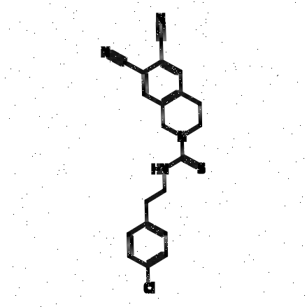 N#Cc1cc2c(cc1C#N)CN(C(=S)NCCc1ccc(Cl)cc1)CC2